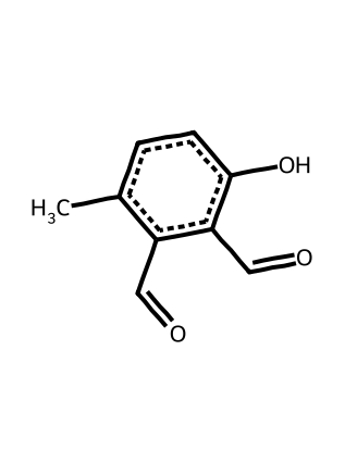 Cc1ccc(O)c(C=O)c1C=O